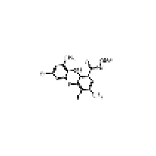 CONC(=O)c1cc(C)c(F)c(F)c1Nc1ncc(Br)cc1C